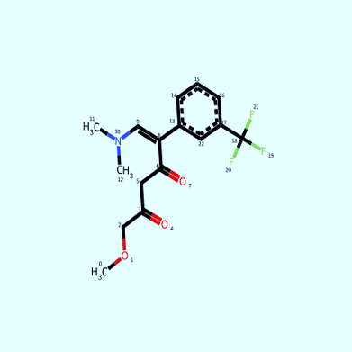 COCC(=O)CC(=O)C(=CN(C)C)c1cccc(C(F)(F)F)c1